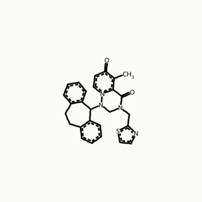 Cc1c2n(ccc1=O)N(C1c3ccccc3CCc3ccccc31)CN(Cc1nccs1)C2=O